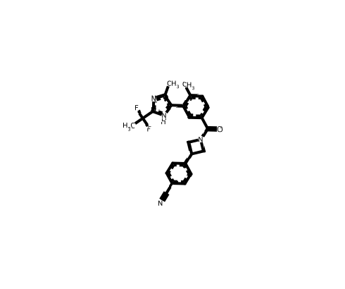 Cc1ccc(C(=O)N2CC(c3ccc(C#N)cc3)C2)cc1-c1[nH]c(C(C)(F)F)nc1C